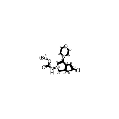 CC(C)(C)OC(=O)NN1C=C(N2CCOCC2)c2cc(Cl)sc2C1